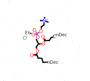 CCCCCCCCCCCCCC(=O)OCC(COP(=O)(OCC)OCC[N+](C)(C)C)OC(=O)CCCCCCCCCCCCC.[Cl-]